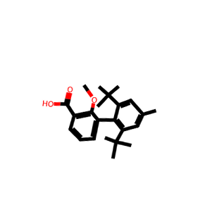 COc1c(C(=O)O)cccc1-c1c(C(C)(C)C)cc(C)cc1C(C)(C)C